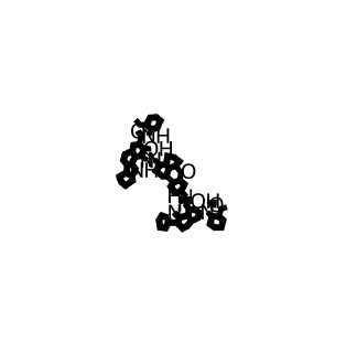 CCc1ccccc1NC(=O)c1cc2ccc3c4ccccc4[nH]c3c2c(N=Nc2ccc3c4c(cccc24)C(=O)c2cc(N=Nc4c(O)c(N(C=O)c5ccccc5CC)cc5ccc6c7ccccc7[nH]c6c45)ccc2-3)c1O